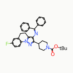 CC(C)(C)OC(=O)N1CCC(c2nn3c(c2N=C(c2ccccc2)c2ccccc2)CCc2cc(F)ccc2-3)CC1